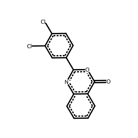 O=c1oc(-c2ccc(Cl)c(Cl)c2)nc2ccccc12